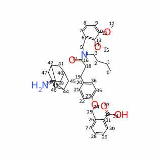 CCCCN(Cc1cccc(OC)c1OC)C(=O)CCc1ccc(OCc2ccccc2C(=O)O)cc1.NC12CC3CC(CC(C3)C1)C2